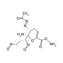 CC(=O)N=N[C@@H]1CC=C(C(=O)ON)O[C@@]1(N)[C@@H](CCN=O)N=O